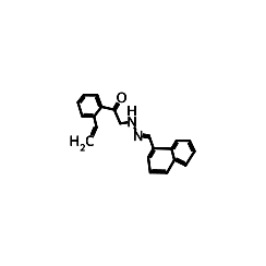 C=Cc1ccccc1C(=O)CNN=Cc1cccc2ccccc12